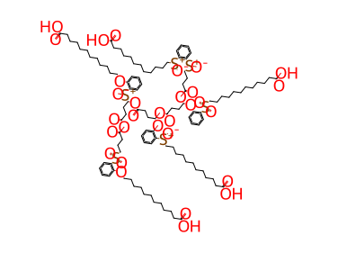 O=C(O)CCCCCCCCCCCOc1ccccc1[S+]([O-])C(CCC(=O)OC(=O)CCCS(=O)(=O)c1ccccc1OCCCCCCCCCCCC(=O)O)OC(=O)CCC(OC(=O)CCC(OC(=O)CCC[S+]([O-])c1ccccc1[S+]([O-])CCCCCCCCCCCC(=O)O)Oc1ccccc1S(=O)(=O)CCCCCCCCCCCC(=O)O)Oc1ccccc1[S+]([O-])CCCCCCCCCCCC(=O)O